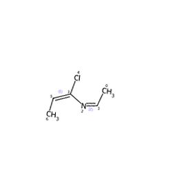 C/C=N\C(Cl)=C/C